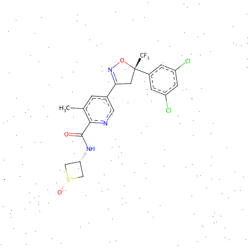 Cc1cc(C2=NO[C@@](c3cc(Cl)cc(Cl)c3)(C(F)(F)F)C2)cnc1C(=O)N[C@H]1C[S@@+]([O-])C1